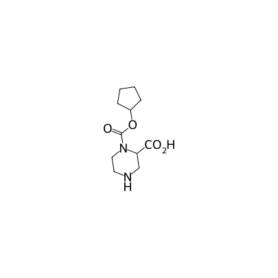 O=C(O)C1CNCCN1C(=O)OC1CCCC1